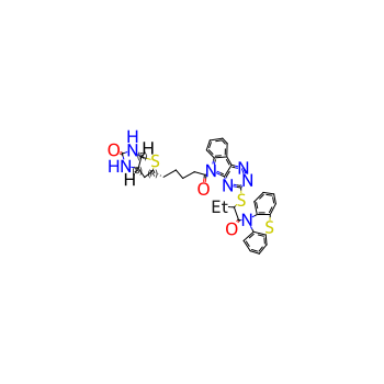 CCC(Sc1nnc2c3ccccc3n(C(=O)CCCC[C@@H]3C[C@@H]4NC(=O)N[C@@H]4S3)c2n1)C(=O)N1c2ccccc2Sc2ccccc21